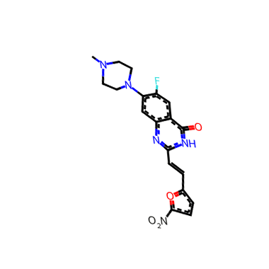 CN1CCN(c2cc3nc(/C=C/c4ccc([N+](=O)[O-])o4)[nH]c(=O)c3cc2F)CC1